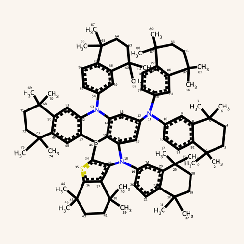 CC1(C)CCC(C)(C)c2cc(N(c3cc4c5c(c3)N(c3ccc6c(c3)C(C)(C)CCC6(C)C)c3c(sc6c3C(C)(C)CCC6(C)C)B5c3cc5c(cc3N4c3ccc4c(c3)C(C)(C)CCC4(C)C)C(C)(C)CCC5(C)C)c3ccc4c(c3)C(C)(C)CCC4(C)C)ccc21